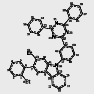 CCc1ccccc1-c1cc2c3ccccc3n(-c3cccc(-c4nc(-c5ccccc5)nc(-c5ccccc5)n4)c3)c2cc1CC